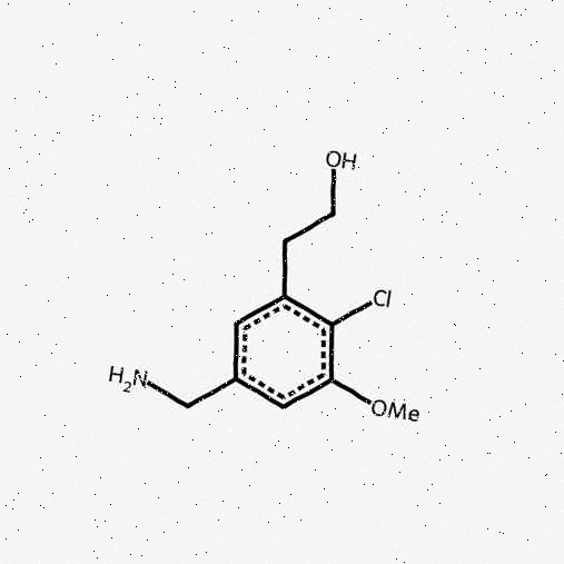 COc1cc(CN)cc(CCO)c1Cl